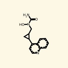 NC(=O)N(O)CC1CC1c1ccnc2ccccc12